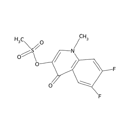 Cn1cc(OS(C)(=O)=O)c(=O)c2cc(F)c(F)cc21